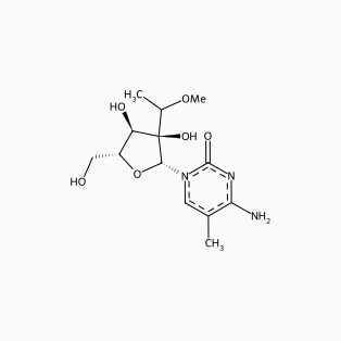 COC(C)[C@@]1(O)[C@H](O)[C@@H](CO)O[C@H]1n1cc(C)c(N)nc1=O